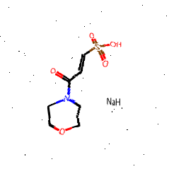 O=C(C=CS(=O)(=O)O)N1CCOCC1.[NaH]